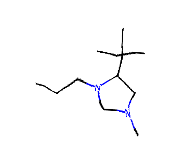 CCCN1CN(C)CC1C(C)(C)C